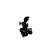 C=CC(=O)N1CC(OC(C)(C)Cn2c(=O)c(-c3cc(OC)cc(OC)c3Cl)cc3cnc(NCCN4CCN(CC)CC4)nc32)C1